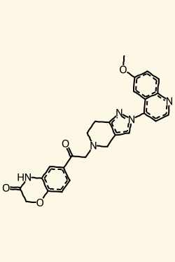 COc1ccc2nccc(-n3cc4c(n3)CCN(CC(=O)c3ccc5c(c3)NC(=O)CO5)C4)c2c1